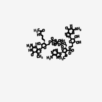 CO[C@@H]1[C@H](P(=O)([O-])OC[C@H]2O[C@@H](n3cnc4c(=O)[nH]c(N)nc43)[C@H](O)[C@@H]2O)[C@@H](COP(=O)(O)OP(=O)(O)OP(=O)(O)OC[C@H]2O[C@@H](n3c[n+](C)c4c(=O)[nH]c(N)nc43)[C@H](O)[C@@H]2CCCNC(C)=O)O[C@H]1n1cnc2c(N)ncnc21